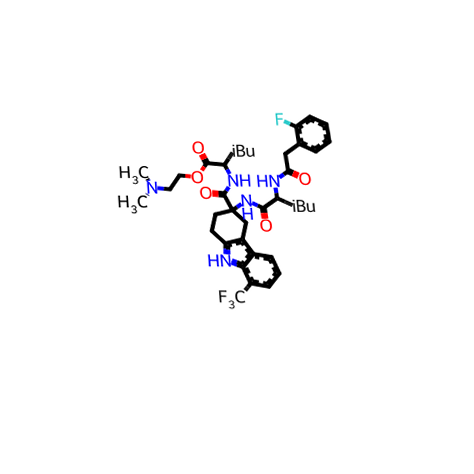 CCC(C)C(NC(=O)Cc1ccccc1F)C(=O)NC1(C(=O)NC(C(=O)OCCN(C)C)C(C)CC)CCc2[nH]c3c(C(F)(F)F)cccc3c2C1